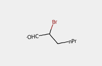 CCCCC(Br)[C]=O